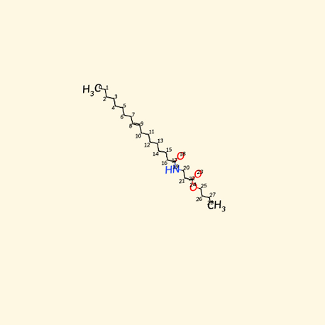 CCCCCCCCC=CCCCCCCCC(=O)NCCC(=O)OCCCC